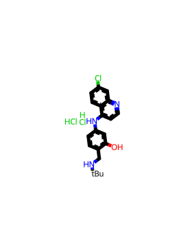 CC(C)(C)NCc1ccc(Nc2ccnc3cc(Cl)ccc23)cc1O.Cl.Cl